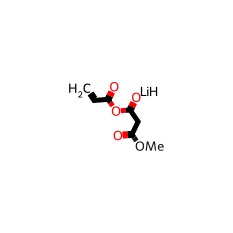 C=CC(=O)OC(=O)CC(=O)OC.[LiH]